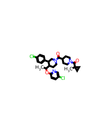 CC(Oc1ccc(Cl)cn1)C1CCN(C(=O)C2CCN(C(=O)C3(C)CC3)CC2)CC1c1ccc(Cl)cc1